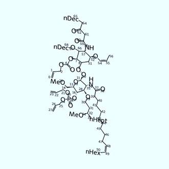 C=CCOC(=O)O[C@@H]1C(OO[C@@H]2O[C@H](COC)[C@@H](OP(=O)(OCC=C)OCC=C)[C@H](OCC[C@@H](CCCCCCC)OC)[C@H]2NC(=O)CCCCCCCCC/C=C\CCCCCC)C[C@H](O/C=C\C)[C@H](NC(=O)CC(=O)CCCCCCCCCCC)C1OCCCCCCCCCC